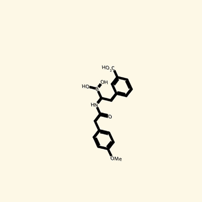 COc1ccc(CC(=O)NC(Cc2cccc(C(=O)O)c2)B(O)O)cc1